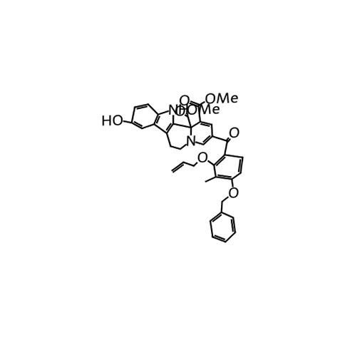 C=CCOc1c(C(=O)C2=CN3CCc4c([nH]c5ccc(O)cc45)C3(C(=O)OC)C(C(=O)OC)=C2)ccc(OCc2ccccc2)c1C